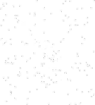 CCCCCCCN(Cc1ccc(OCOCCOC)cc1)C(=O)Nc1ccc(OC)cc1OCC1CCCCC1